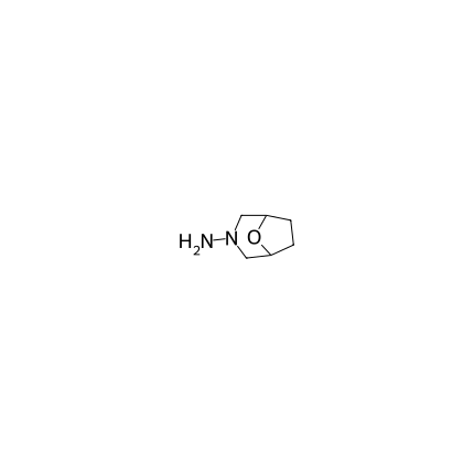 NN1CC2CCC(C1)O2